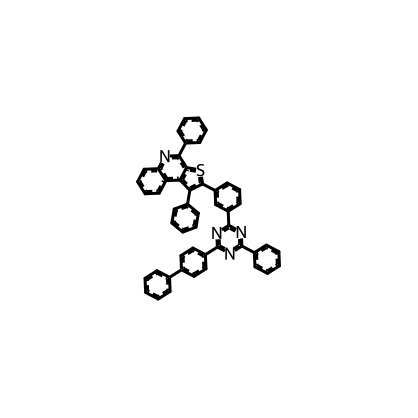 c1ccc(-c2ccc(-c3nc(-c4ccccc4)nc(-c4cccc(-c5sc6c(-c7ccccc7)nc7ccccc7c6c5-c5ccccc5)c4)n3)cc2)cc1